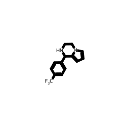 FC(F)(F)c1ccc(C2NCCn3cccc32)cc1